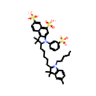 CCCCC[N+]1=C(CCCCCC2N(c3cccc(S(=O)(=O)O)c3)c3cc(S(=O)(=O)O)c4cc(S(=O)(=O)O)ccc4c3C2(C)C)C(C)(C)c2cc(C)ccc21